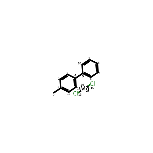 Cc1ccc(-c2ccccc2)cc1.[Cl][Mg][Cl]